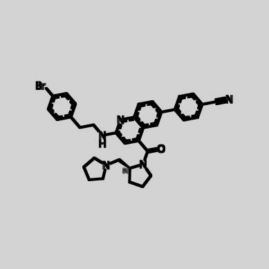 N#Cc1ccc(-c2ccc3nc(NCCc4ccc(Br)cc4)cc(C(=O)N4CCC[C@H]4CN4CCCC4)c3c2)cc1